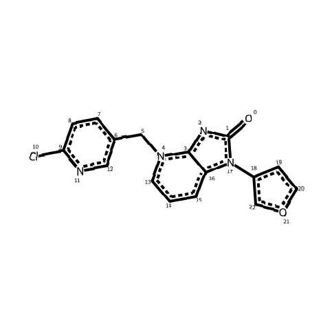 O=c1nc2n(Cc3ccc(Cl)nc3)cccc-2n1-c1ccoc1